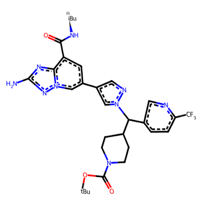 CC[C@H](C)NC(=O)c1cc(-c2cnn(C(c3ccc(C(F)(F)F)nc3)C3CCN(C(=O)OC(C)(C)C)CC3)c2)cn2nc(N)nc12